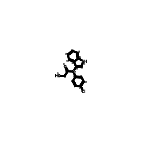 O=C(CO)N(c1ccc(Cl)cc1)c1c[nH]c2ccccc12